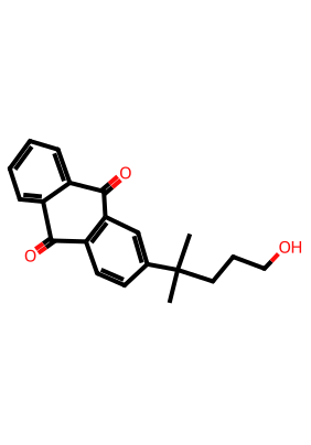 CC(C)(CCCO)c1ccc2c(c1)C(=O)c1ccccc1C2=O